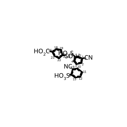 N#Cc1cccc(S(=O)(=O)O)c1.N#Cc1ccccc1S(=O)(=O)O.O=C(O)c1ccc(S(=O)(=O)O)cc1